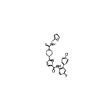 O=C(Nc1ccc(F)cc1-c1ccc(Cl)cc1)c1csc(C2CCN(C(=S)NCc3ccco3)CC2)n1